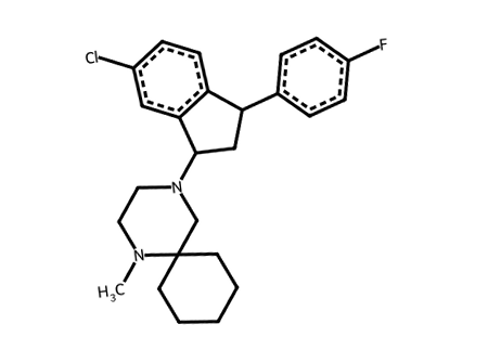 CN1CCN(C2CC(c3ccc(F)cc3)c3ccc(Cl)cc32)CC12CCCCC2